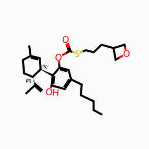 C=C(C)[C@@H]1CCC(C)=C[C@H]1c1c(O)cc(CCCCC)cc1OC(=O)SCCCC1COC1